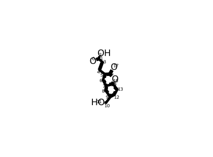 O=C(O)C=Cc1cc2cc(CO)ccc2oc1=O